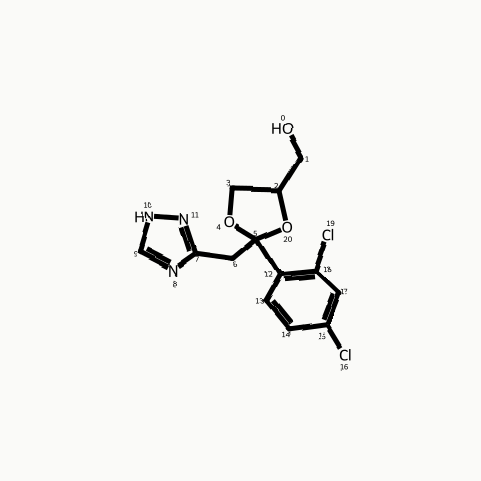 OCC1COC(Cc2nc[nH]n2)(c2ccc(Cl)cc2Cl)O1